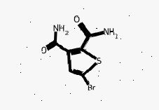 NC(=O)c1cc(Br)sc1C(N)=O